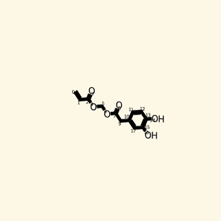 C=CC(=O)OCOC(=O)Cc1ccc(O)c(O)c1